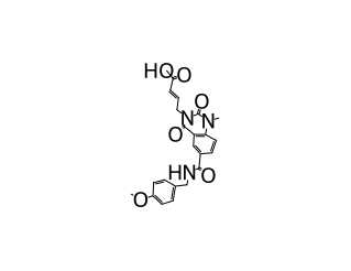 COc1ccc(CNC(=O)c2ccc3c(c2)c(=O)n(CC=CC(=O)O)c(=O)n3C)cc1